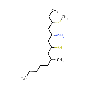 CCCCC[C@@H](C)CC(S)C[C@H](N)C[C@@H](CC)SC